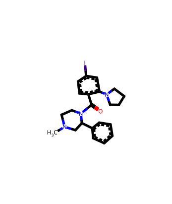 CN1CCN(C(=O)c2ccc(I)cc2N2CCCC2)C(c2ccccc2)C1